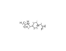 CC(C)NCC1CCN(CC(F)F)CC1